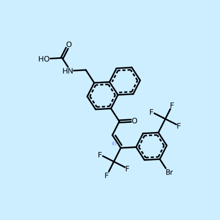 O=C(O)NCc1ccc(C(=O)/C=C(\c2cc(Br)cc(C(F)(F)F)c2)C(F)(F)F)c2ccccc12